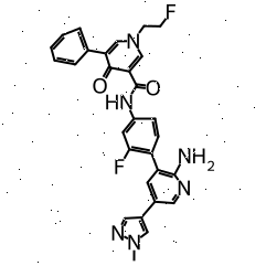 Cn1cc(-c2cnc(N)c(-c3ccc(NC(=O)c4cn(CCF)cc(-c5ccccc5)c4=O)cc3F)c2)cn1